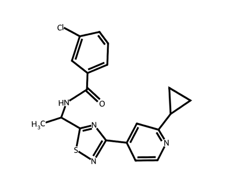 CC(NC(=O)c1cccc(Cl)c1)c1nc(-c2ccnc(C3CC3)c2)ns1